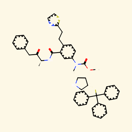 CC[C@H](NC(=O)c1cc(N(C[C@@H]2C[C@H](SC(c3ccccc3)(c3ccccc3)c3ccccc3)CN2)C(=O)OC(C)(C)C)ccc1CCc1nccs1)C(=O)Cc1ccccc1